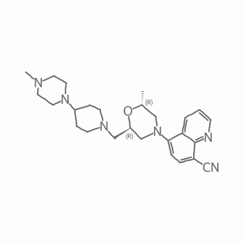 C[C@@H]1CN(c2ccc(C#N)c3ncccc23)C[C@@H](CN2CCC(N3CCN(C)CC3)CC2)O1